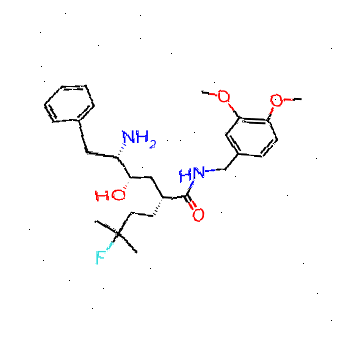 COc1ccc(CNC(=O)[C@H](CCC(C)(C)F)C[C@H](O)[C@@H](N)Cc2ccccc2)cc1OC